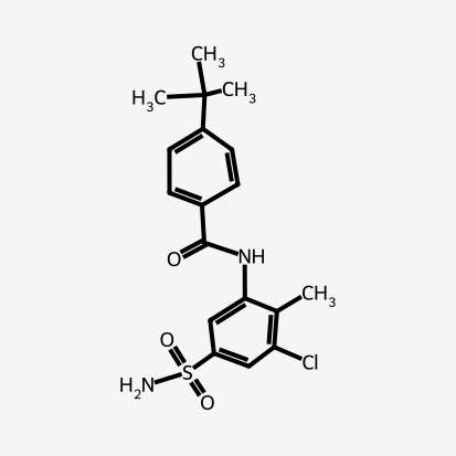 Cc1c(Cl)cc(S(N)(=O)=O)cc1NC(=O)c1ccc(C(C)(C)C)cc1